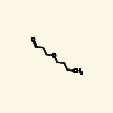 C=CCCOCCC=O